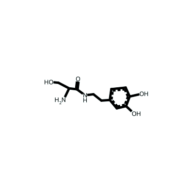 NC(CO)C(=O)NCCc1ccc(O)c(O)c1